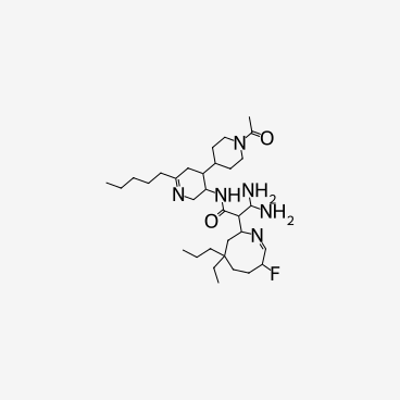 CCCCCC1=NCC(NC(=O)C(C(N)N)C2CC(CC)(CCC)CCC(F)/C=N\2)C(C2CCN(C(C)=O)CC2)C1